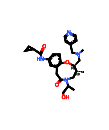 CC(CO)N1C[C@@H](C)[C@H](CN(C)Cc2ccncc2)Oc2ccc(NC(=O)C3CC3)cc2CC1=O